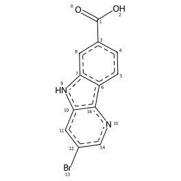 O=C(O)c1ccc2c(c1)[nH]c1cc(Br)cnc12